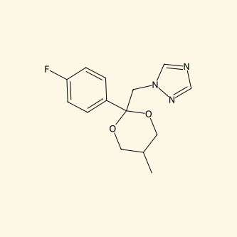 CC1COC(Cn2cncn2)(c2ccc(F)cc2)OC1